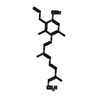 C=CCc1c(OC)cc(C)c(C=CC(C)=CC=CC(C)=CC(=O)O)c1C